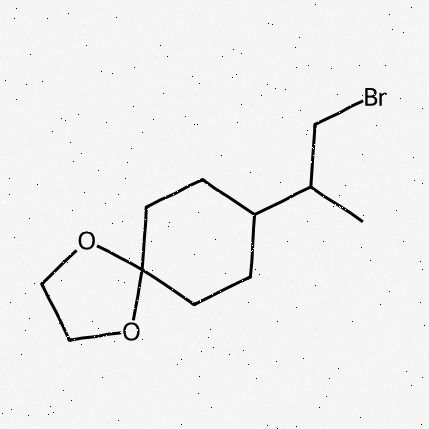 CC(CBr)C1CCC2(CC1)OCCO2